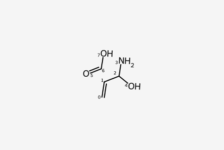 C=CC(N)O.O=CO